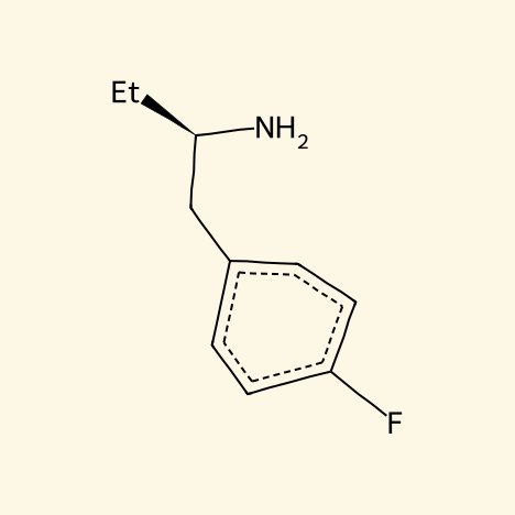 CC[C@@H](N)Cc1ccc(F)cc1